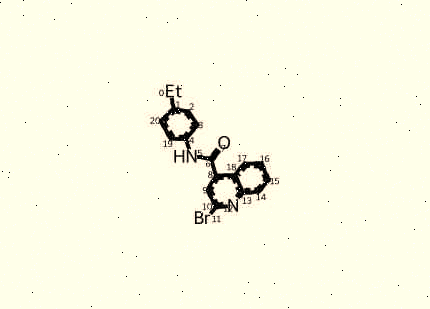 CCc1ccc(NC(=O)c2cc(Br)nc3ccccc23)cc1